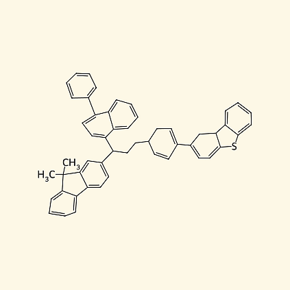 CC1(C)c2ccccc2-c2ccc(C(CCC3C=CC(C4=CC=C5Sc6ccccc6C5C4)=CC3)c3ccc(-c4ccccc4)c4ccccc34)cc21